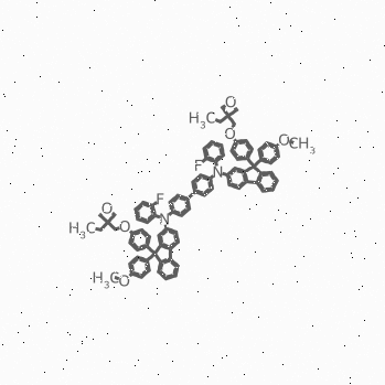 CCC1(COc2ccc(C3(c4ccc(OC)cc4)c4ccccc4-c4ccc(N(c5ccc(-c6ccc(N(c7ccc8c(c7)C(c7ccc(OC)cc7)(c7ccc(OCC9(CC)COC9)cc7)c7ccccc7-8)c7ccccc7F)cc6)cc5)c5ccccc5F)cc43)cc2)COC1